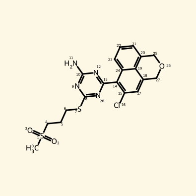 CS(=O)(=O)CCCSc1nc(N)nc(-c2c(Cl)cc3c4c(cccc24)COC3)n1